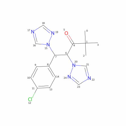 CC(C)(C)C(=O)C(C(c1ccc(Cl)cc1)n1cncn1)n1cncn1